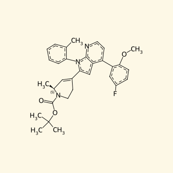 COc1ccc(F)cc1-c1ccnc2c1cc(C1=C[C@H](C)N(C(=O)OC(C)(C)C)CC1)n2-c1ccccc1C